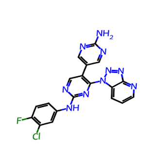 Nc1ncc(-c2cnc(Nc3ccc(F)c(Cl)c3)nc2-n2nnc3ncccc32)cn1